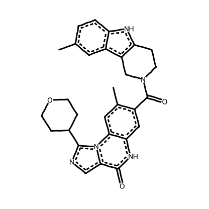 Cc1ccc2[nH]c3c(c2c1)CN(C(=O)c1cc2[nH]c(=O)c4cnc(C5CCOCC5)n4c2cc1C)CC3